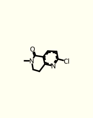 CN1CCc2nc(Cl)ccc2C1=O